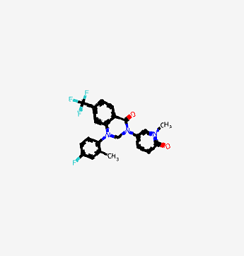 Cc1cc(F)ccc1N1CN(c2ccc(=O)n(C)c2)C(=O)c2ccc(C(F)(F)F)cc21